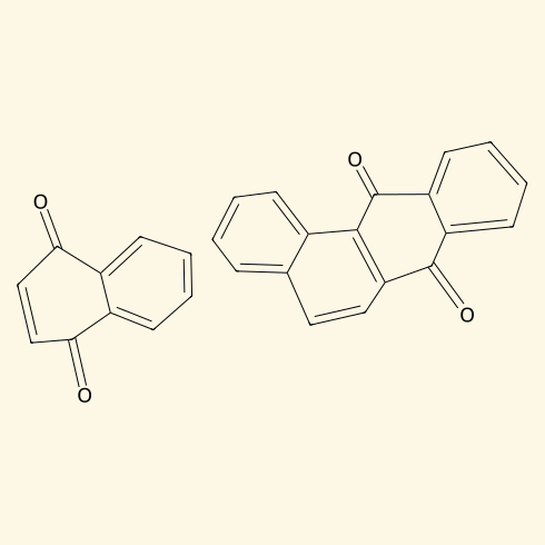 O=C1C=CC(=O)c2ccccc21.O=C1c2ccccc2C(=O)c2c1ccc1ccccc21